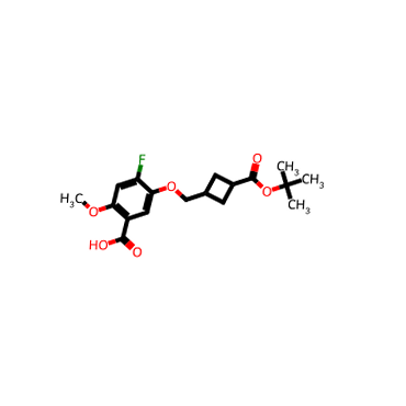 COc1cc(F)c(OCC2CC(C(=O)OC(C)(C)C)C2)cc1C(=O)O